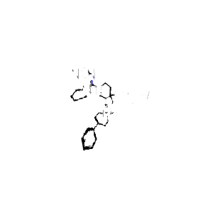 N#C/N=C(\N1CCCC1)N1CCC(CS(=O)(=O)N2CC=C(c3ccccc3)CC2)(C(=O)O)CC1